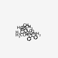 COc1c(C(C)(C)C)cc(C(=O)N[C@H](C(N)=O)C(c2ccccc2)c2ccccc2)cc1C(C)(C)C